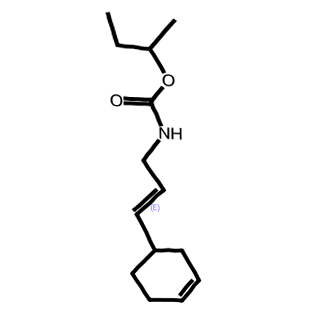 CCC(C)OC(=O)NC/C=C/C1CC=CCC1